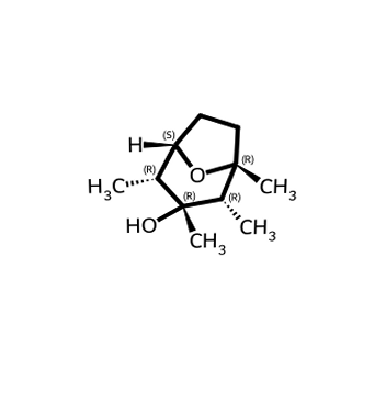 C[C@@H]1[C@@H]2CC[C@@](C)(O2)[C@H](C)[C@]1(C)O